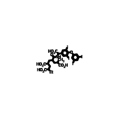 CCC(CC(CC(CC(C)C(=O)O)C(=O)NC(C(=O)O)c1cc(I)c(Oc2cc(I)cc(I)c2)c(I)c1)C(=O)O)C(=O)O